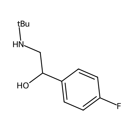 CC(C)(C)NCC(O)c1ccc(F)cc1